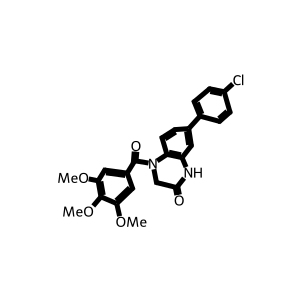 COc1cc(C(=O)N2CC(=O)Nc3cc(-c4ccc(Cl)cc4)ccc32)cc(OC)c1OC